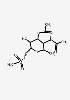 CC(=O)NC1C(C)OC(COS(C)(=O)=O)C(O)C1OC(C)=O